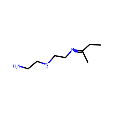 CC/C(C)=N/CCNCCN